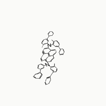 Cc1ccc(-c2ccccc2)cc1N(c1cccc(-c2ccccc2)c1)c1ccc2ccc3c(N(c4cc(-c5ccccc5)ccc4C)c4cc(-c5ccccc5)ccc4C)ccc4ccc1c2c43